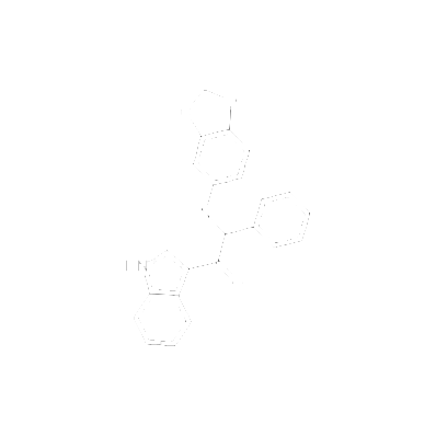 O=C(c1c[nH]c2ccccc12)C(Nc1ccc2c(c1)OCO2)c1ccccc1